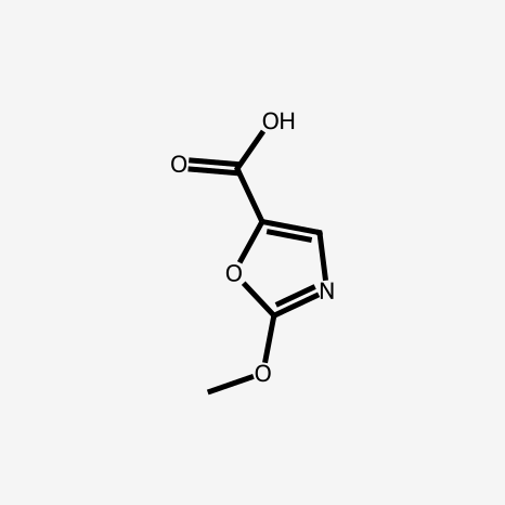 COc1ncc(C(=O)O)o1